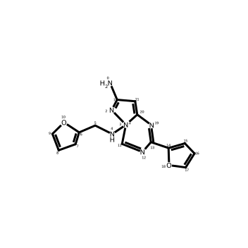 NC1=N[N+]2(NCc3ccco3)C=NC(c3ccco3)=NC2=C1